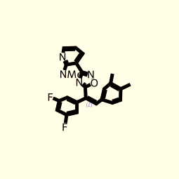 CNc1ncccc1-c1noc(/C(=C\c2ccc(C)c(C)c2)c2cc(F)cc(F)c2)n1